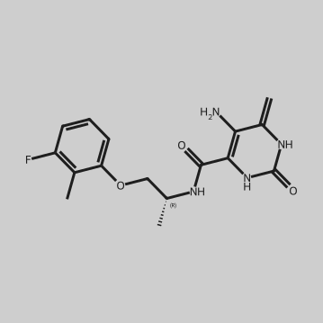 C=C1NC(=O)NC(C(=O)N[C@H](C)COc2cccc(F)c2C)=C1N